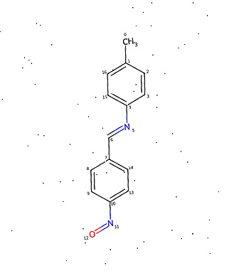 Cc1ccc(N=Cc2ccc(N=O)cc2)cc1